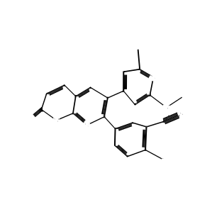 CNc1cc(-c2cc3ccc(=O)[nH]c3nc2-c2ccc(F)c(C#N)c2)cc(C)n1